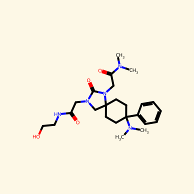 CN(C)C(=O)CN1C(=O)N(CC(=O)NCCO)CC12CCC(c1ccccc1)(N(C)C)CC2